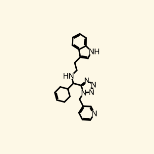 C1=CCC(C(NCCc2c[nH]c3ccccc23)c2nnnn2Cc2cccnc2)CC1